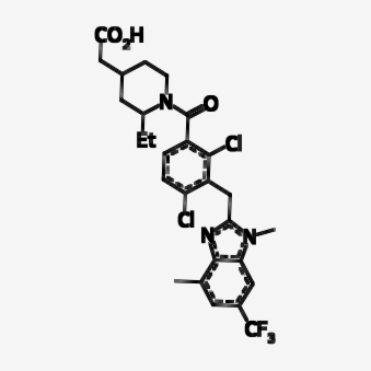 CCC1CC(CC(=O)O)CCN1C(=O)c1ccc(Cl)c(Cc2nc3c(C)cc(C(F)(F)F)cc3n2C)c1Cl